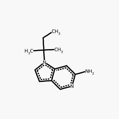 CCC(C)(C)n1ccc2cnc(N)cc21